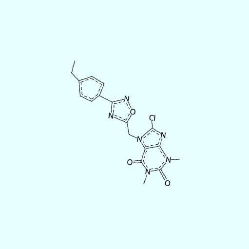 CCc1ccc(-c2noc(Cn3c(Cl)nc4c3c(=O)n(C)c(=O)n4C)n2)cc1